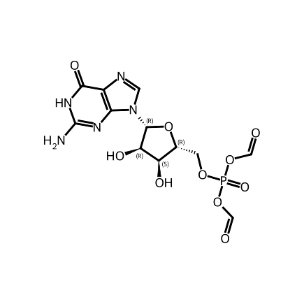 Nc1nc2c(ncn2[C@@H]2O[C@H](COP(=O)(OC=O)OC=O)[C@@H](O)[C@H]2O)c(=O)[nH]1